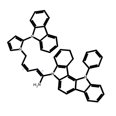 N/C(=C\C=C/Cn1cccc1-n1c2ccccc2c2ccccc21)n1c2c(c3c1ccc1c4ccccc4n(-c4ccccc4)c13)CCC=C2